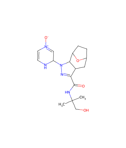 CC(C)(CO)NC(=O)C1=NN(C2C=[N+]([O-])C=CN2)C2C3CCC(CC12)O3